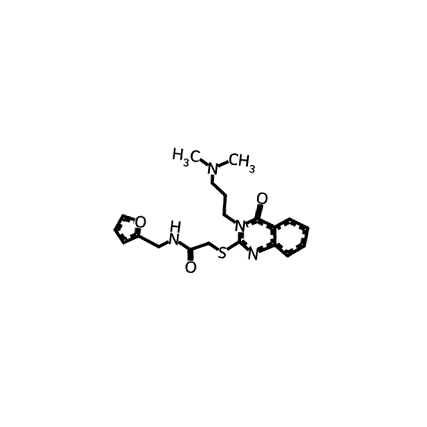 CN(C)CCCn1c(SCC(=O)NCc2ccco2)nc2ccccc2c1=O